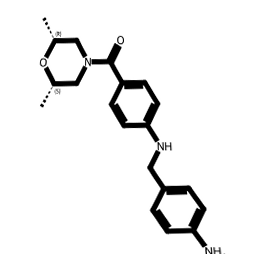 C[C@@H]1CN(C(=O)c2ccc(NCc3ccc(N)cc3)cc2)C[C@H](C)O1